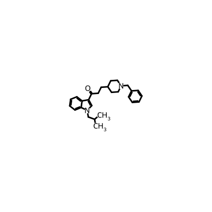 CC(C)Cn1cc(C(=O)CCC2CCN(Cc3ccccc3)CC2)c2ccccc21